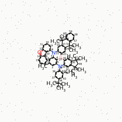 Cc1cc2c3c(c1)N(c1cccc4oc5ccccc5c14)c1cc4c(cc1B3c1cc3c(cc1N2c1ccc(C(C)(C)C)cc1C)C(C)(C)CC3(C)C)C(C)(C)c1ccccc1C4(C)C